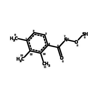 Cc1ccc(C(=O)[N+]OS)c(C)c1C